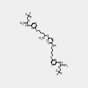 NC(=NCC(F)(F)F)Nc1cncc(SCCCCNC(=O)/C=C\C(=O)OC(N)CCCSc2cncc(NC(N)=NCC(F)(F)F)n2)n1